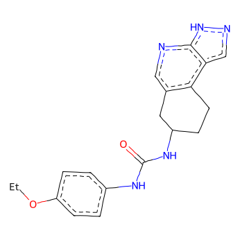 CCOc1ccc(NC(=O)NC2CCc3c(cnc4[nH]ncc34)C2)cc1